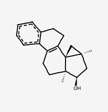 C[C@]12C[C@@H](O)[C@@]3(C)CCC4=C(CCc5c[c]ccc54)[C@]13C2